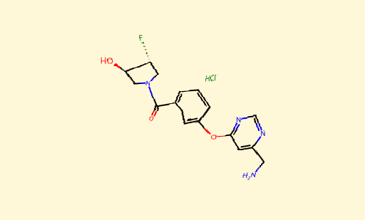 Cl.NCc1cc(Oc2cccc(C(=O)N3C[C@@H](O)[C@H](F)C3)c2)ncn1